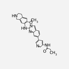 CCC(=O)Nc1cncc(-c2ccc3cnc(Nc4cc5c(cc4OC)CCNC5)nc3c2)c1